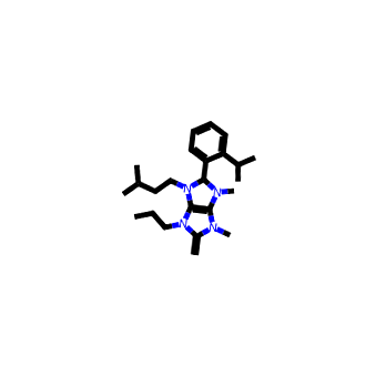 C=C1N(C)C2=C(N1CCC)N(CCC(C)C)C(c1ccccc1C(C)C)N2C